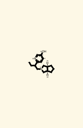 CCC(CN1C[C@H]2CCC[C@H]2C1)c1ccc(O)cn1